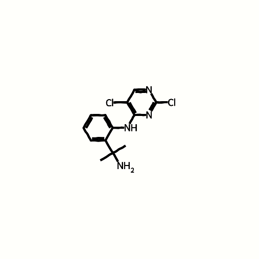 CC(C)(N)c1ccccc1Nc1nc(Cl)ncc1Cl